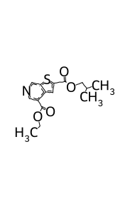 CCOC(=O)c1cncc2sc(C(=O)OCC(C)C)cc12